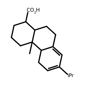 CC(C)C1=CCC2C(=C1)CCC1C(C(=O)O)CCCC21C